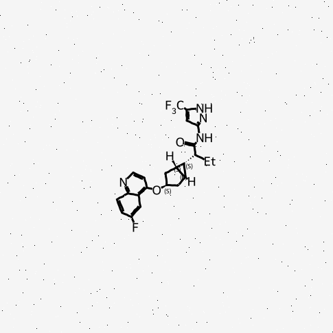 CCC(C(=O)Nc1cc(C(F)(F)F)[nH]n1)[C@@H]1[C@@H]2C[C@@H](Oc3ccnc4ccc(F)cc34)C[C@@H]21